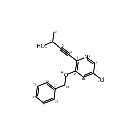 CC(O)C#Cc1ncc(Cl)cc1OCc1ccccc1